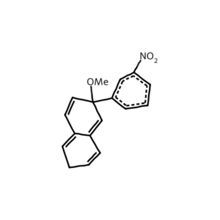 COC1(c2cccc([N+](=O)[O-])c2)C=CC2=CCC=CC2=C1